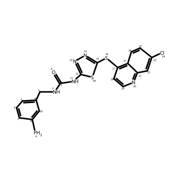 O=C(NCc1cccc(P)c1)Nc1nnc(Sc2ccnc3cc(Cl)ccc23)s1